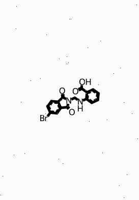 O=C(O)c1ccccc1NCN1C(=O)c2ccc(Br)cc2C1=O